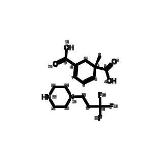 C[C@@]1(C(=O)O)C=CC=C(C(=O)O)C1.FC(F)(F)CCN1CCNCC1